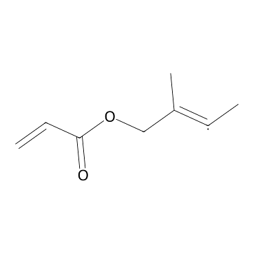 C=CC(=O)OC/C(C)=[C]/C